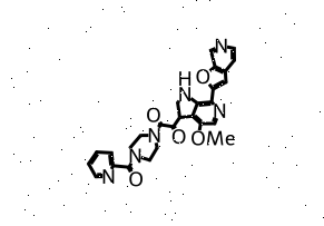 COc1cnc(-c2cc3ccncc3o2)c2c1C(C(=O)C(=O)N1CCN(C(=O)c3ccccn3)CC1)CN2